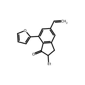 C=Cc1cc2c(c(-c3ccco3)c1)C(=O)C(CC)C2